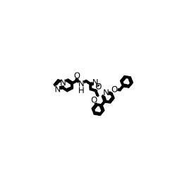 O=C(NCC1=NOC(COc2ccccc2-c2ccc(OCc3ccccc3)nc2)C1)c1ccc2nccn2c1